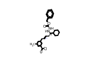 Cc1cc(C/C=C/C[C@@H](NNC(=O)OCc2ccccc2)C2CCCCC2)cc(C(=O)Cl)c1